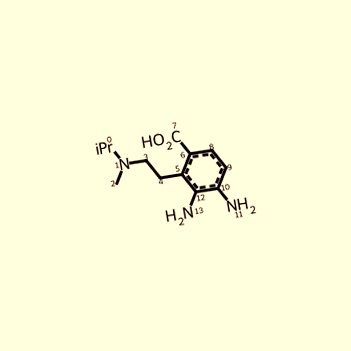 CC(C)N(C)CCc1c(C(=O)O)ccc(N)c1N